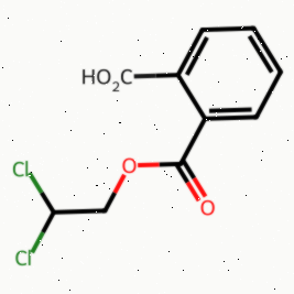 O=C(O)c1ccccc1C(=O)OCC(Cl)Cl